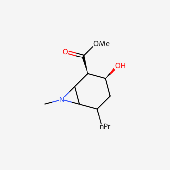 CCCC1C[C@H](O)[C@H](C(=O)OC)C2C1N2C